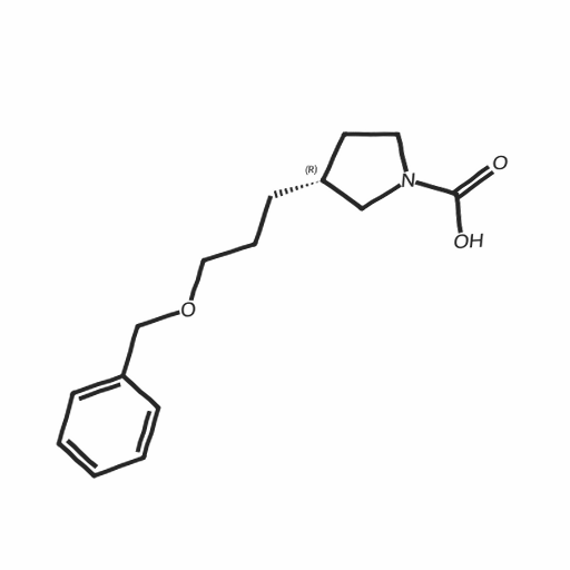 O=C(O)N1CC[C@@H](CCCOCc2ccccc2)C1